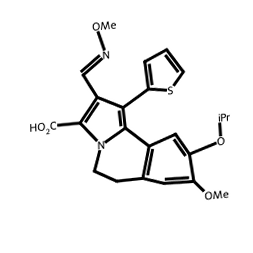 CON=Cc1c(-c2cccs2)c2n(c1C(=O)O)CCc1cc(OC)c(OC(C)C)cc1-2